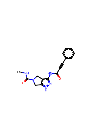 CCNC(=O)N1Cc2[nH]nc(NC(=O)C#Cc3ccccc3)c2C1